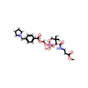 COC(=O)CCNC(=O)[C@@H]1O[PH](O)(OCOC(=O)c2ccc(CN3CCCC3)cc2)OCC1(C)C